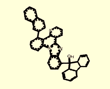 OC1(c2cccc3c2nc2c4cccnc4c4c(-c5ccc6ccccc6c5)cccc4n32)C2C=CC=CC2C2C=CC=CC21